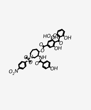 O=C(N[C@H]1CN(S(=O)(=O)c2ccc([N+](=O)[O-])cc2)CCC[C@@H]1OC(=O)c1cc(O)c(C(=O)c2c(O)cccc2C(=O)O)c(O)c1)c1ccc(O)cc1